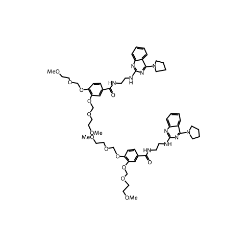 COCCOCOc1ccc(C(=O)NCCNc2nc(N3CCCC3)c3ccccc3n2)cc1OCOCCOC.COCCOCOc1ccc(C(=O)NCCNc2nc(N3CCCC3)c3ccccc3n2)cc1OCOCCOC